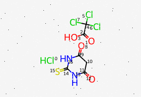 Cl.O=C(O)C(Cl)(Cl)Cl.O=C1CC(=O)NC(=S)N1